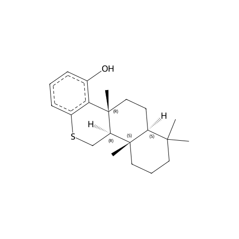 CC1(C)CCC[C@]2(C)[C@H]3CSc4cccc(O)c4[C@]3(C)CC[C@@H]12